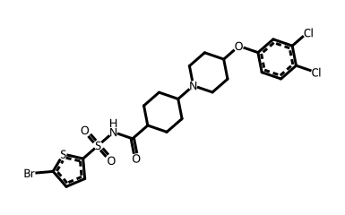 O=C(NS(=O)(=O)c1ccc(Br)s1)C1CCC(N2CCC(Oc3ccc(Cl)c(Cl)c3)CC2)CC1